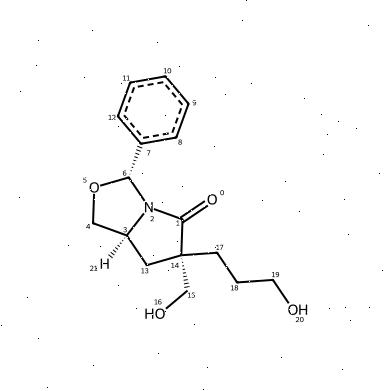 O=C1N2[C@H](CO[C@@H]2c2ccccc2)C[C@]1(CO)CCCO